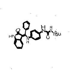 CCCCNC(=O)Nc1ccc(NC(=C2C(=O)Nc3ccccc32)c2ccccc2)cc1